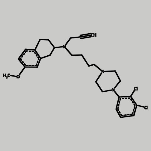 C#CCN(CCCCN1CCN(c2cccc(Cl)c2Cl)CC1)C1CCc2ccc(OC)cc2C1